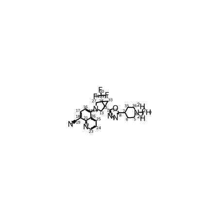 [2H]C([2H])([2H])N1CCC(c2nnc([C@]34CN(c5ccc(C#N)c6ncccc56)C[C@@]3(C(F)(F)F)C4)o2)CC1